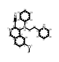 COc1ccc2cnc(C#N)c(N(CCc3ccccn3)c3ccccc3)c2c1